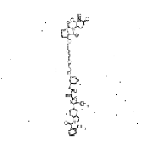 Cc1ccccc1C(=O)N1CCc2cc(-c3nc(NC(=O)Cc4cccc(OCCOCCOCCOc5cccc6c5C(=O)N(C5CCC(=O)NC5=O)C6=O)c4)sc3C)ccc21